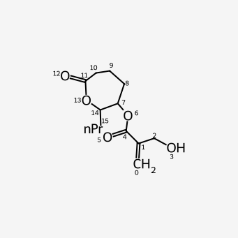 C=C(CO)C(=O)OC1CCCC(=O)OC1CCC